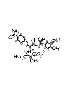 C[C@@H](CCc1ccc(C(N)=O)cc1)NC[C@H](O)c1ccc(O)c(O)c1.O=C(O)C(O)C(O)C(=O)O